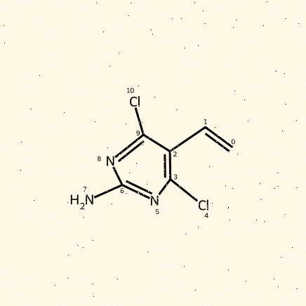 C=Cc1c(Cl)nc(N)nc1Cl